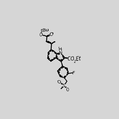 CCOC(=O)c1[nH]c2c(/C(C)=C/C(=O)OC(C)(C)C)cccc2c1-c1ccc(CS(C)(=O)=O)c(F)c1